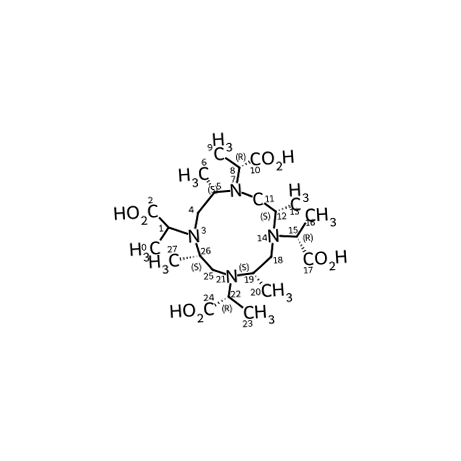 CC(C(=O)O)N1C[C@H](C)N([C@H](C)C(=O)O)C[C@H](C)N([C@H](C)C(=O)O)C[C@H](C)N([C@H](C)C(=O)O)C[C@@H]1C